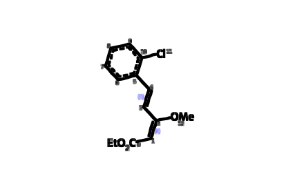 CCOC(=O)/C=C(\C=C\c1ccccc1Cl)OC